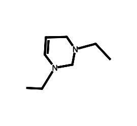 CCN1C=CCN(CC)C1